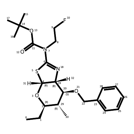 CC[C@H]1O[C@@H]2SC(N(CCF)C(=O)OC(C)(C)C)=N[C@@H]2[C@@H](OCc2ccccc2)[C@@H]1C